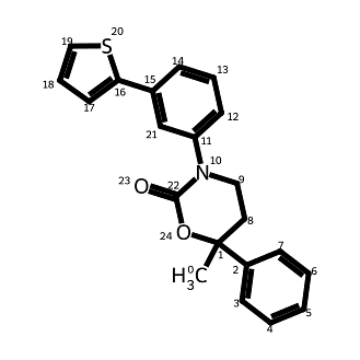 CC1(c2ccccc2)CCN(c2cccc(-c3cccs3)c2)C(=O)O1